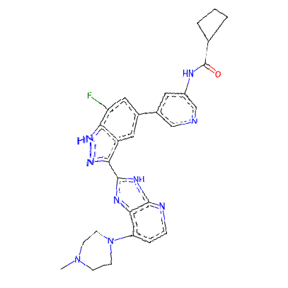 CN1CCN(c2ccnc3[nH]c(-c4n[nH]c5c(F)cc(-c6cncc(NC(=O)C7CCC7)c6)cc45)nc23)CC1